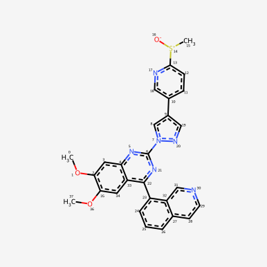 COc1cc2nc(-n3cc(-c4ccc([S+](C)[O-])nc4)cn3)nc(-c3cccc4ccncc34)c2cc1OC